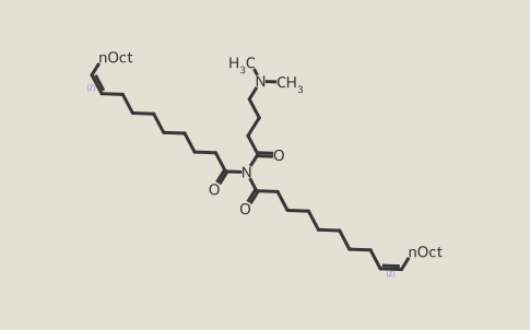 CCCCCCCC/C=C\CCCCCCCC(=O)N(C(=O)CCCCCCC/C=C\CCCCCCCC)C(=O)CCCN(C)C